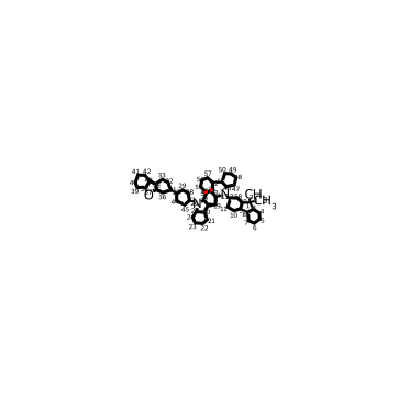 CC1(C)c2ccccc2-c2ccc(N(c3ccc4c(c3)c3ccccc3n4-c3ccc(-c4ccc5c(c4)oc4ccccc45)cc3)c3ccccc3-c3ccccc3)cc21